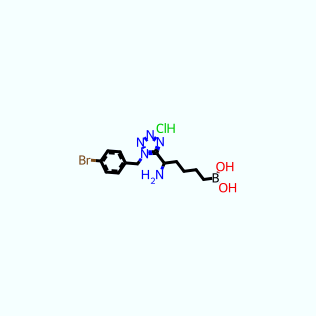 Cl.NC(CCCCB(O)O)c1nnnn1Cc1ccc(Br)cc1